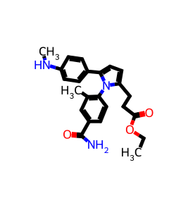 CCOC(=O)CCc1ccc(-c2ccc(NC)cc2)n1-c1ccc(C(N)=O)cc1C